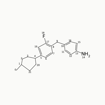 CC1CCC(c2ccc(Cc3ccc(N)cc3)c(F)c2)CC1